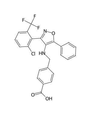 O=C(O)c1ccc(CNc2c(-c3c(Cl)cccc3C(F)(F)F)noc2-c2ccccc2)cc1